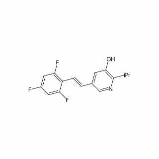 CC(C)c1ncc(/C=C/c2c(F)cc(F)cc2F)cc1O